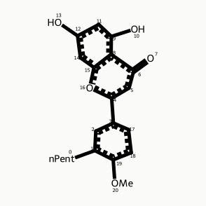 CCCCCc1cc(-c2cc(=O)c3c(O)cc(O)cc3o2)ccc1OC